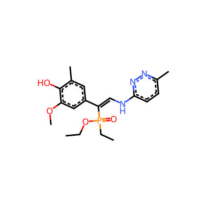 CCOP(=O)(CC)C(=CNc1ccc(C)nn1)c1cc(C)c(O)c(OC)c1